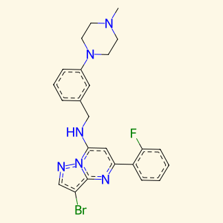 CN1CCN(c2cccc(CNc3cc(-c4ccccc4F)nc4c(Br)cnn34)c2)CC1